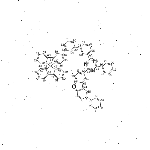 c1ccc(-c2ccc3oc4ccc(-c5nc(-c6ccccc6)nc(-c6cccc(-c7cccc(-c8ccc9c(c8)-c8ccccc8C98c9ccccc9-c9ccccc98)c7)c6)n5)cc4c3c2)cc1